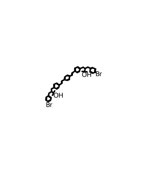 CC(C)(O)C(Cc1ccc(Br)cc1)Cc1ccc(/C=C/c2ccc(/C=C/c3ccc(CC(Cc4ccc(Br)cc4)C(C)(C)O)cc3)cc2)cc1